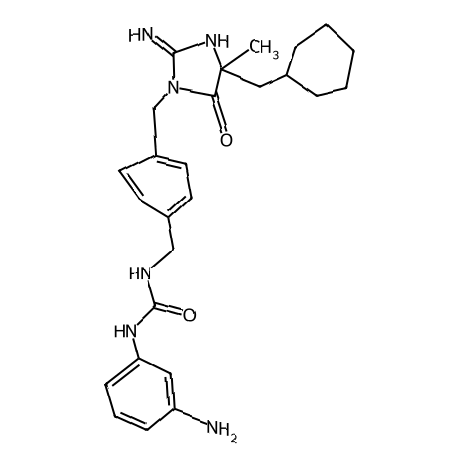 CC1(CC2CCCCC2)NC(=N)N(Cc2ccc(CNC(=O)Nc3cccc(N)c3)cc2)C1=O